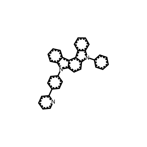 c1ccc(-n2c3ccccc3c3c4c5ccccc5n(-c5ccc(-c6ccccn6)cc5)c4ccc32)cc1